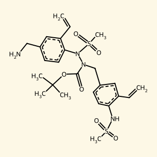 C=Cc1cc(CN(C(=O)OC(C)(C)C)N(c2ccc(CN)cc2C=C)S(C)(=O)=O)ccc1NS(C)(=O)=O